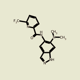 CN(C)c1cc2[nH]ncc2cc1NC(=O)c1cccc(C(F)(F)F)n1